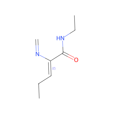 C=N/C(=C\CC)C(=O)NCC